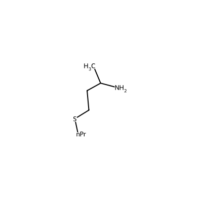 CCCSCCC(C)N